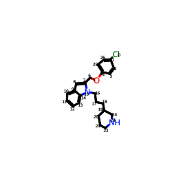 Clc1ccc(OCc2cc3ccccc3n2CCCC2CCCNC2)cc1